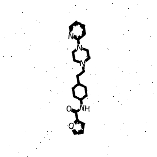 O=C(NC1CCC(CCN2CCN(c3ccccn3)CC2)CC1)c1ccco1